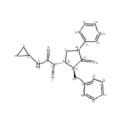 O=C(NC1CC1)C(=O)[C@@H]1CN(c2cnccn2)C(=O)[C@H]1Cc1ccccc1